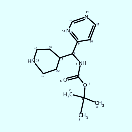 CC(C)(C)OC(=O)NC(c1ccncn1)C1CCNCC1